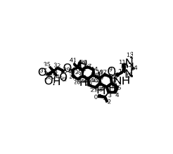 C=C(C)[C@@H]1CC[C@]2(NC(=O)c3cn(C)cn3)CC[C@]3(C)[C@H](CC[C@@H]4[C@@]5(C)CC[C@H](OC(=O)CC(C)(C)C(=O)O)C(C)(C)[C@@H]5CC[C@]43C)[C@@H]12